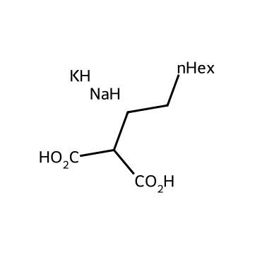 CCCCCCCCC(C(=O)O)C(=O)O.[KH].[NaH]